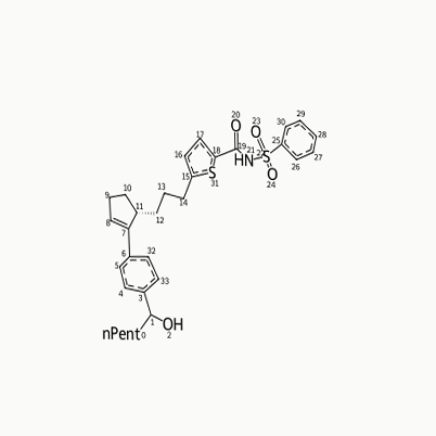 CCCCCC(O)c1ccc(C2=CCC[C@@H]2CCCc2ccc(C(=O)NS(=O)(=O)c3ccccc3)s2)cc1